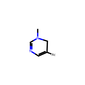 CC(=O)C1=CN=[C]N(C)C1